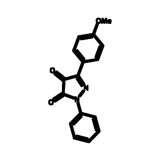 COc1ccc(C2=NN(c3ccccc3)C(=O)C2=O)cc1